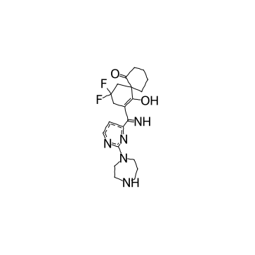 N=C(C1=C(O)C2(CCCCC2=O)CC(F)(F)C1)c1ccnc(N2CCCNCC2)n1